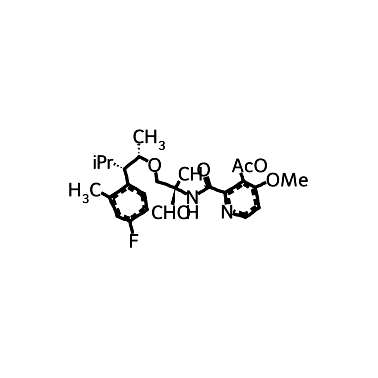 COc1ccnc(C(=O)N[C@](C)(C=O)CO[C@@H](C)[C@H](c2ccc(F)cc2C)C(C)C)c1OC(C)=O